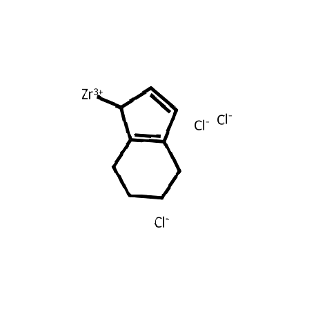 [Cl-].[Cl-].[Cl-].[Zr+3][CH]1C=CC2=C1CCCC2